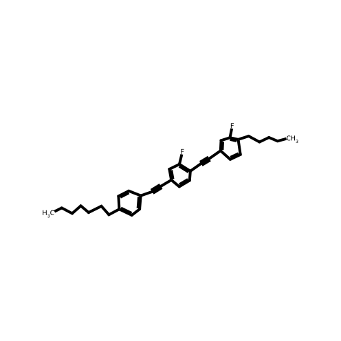 CCCCCCCc1ccc(C#Cc2ccc(C#Cc3ccc(CCCCC)c(F)c3)c(F)c2)cc1